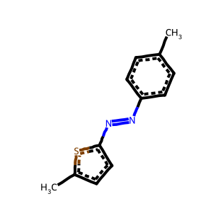 Cc1ccc(N=Nc2ccc(C)s2)cc1